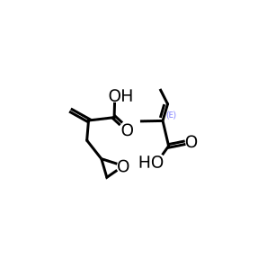 C/C=C(\C)C(=O)O.C=C(CC1CO1)C(=O)O